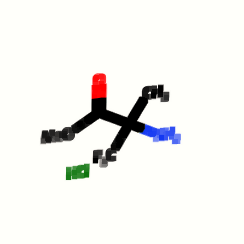 COC(=O)C(C)(N)C(F)(F)F.Cl